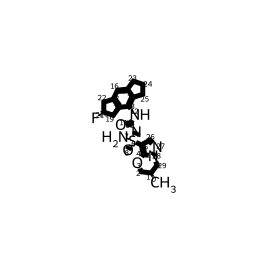 C[C@H]1COc2c([S@@](N)(=O)=NC(=O)Nc3c4c(cc5c3C[C@H](F)C5)CCC4)cnn2C1